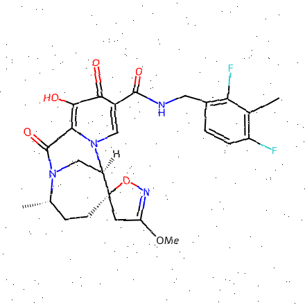 COC1=NO[C@@]2(CC[C@H](C)N3C[C@H]2n2cc(C(=O)NCc4ccc(F)c(C)c4F)c(=O)c(O)c2C3=O)C1